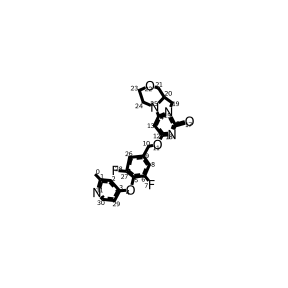 Cc1cc(Oc2c(F)cc(COc3cc4n(c(=O)n3)CC3COCCN43)cc2F)ccn1